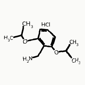 CC(C)Oc1cccc(OC(C)C)c1CN.Cl